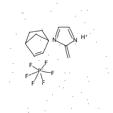 C1=CC2CCC1C2.C=C1N=CC=N1.F[P-](F)(F)(F)(F)F.[H+]